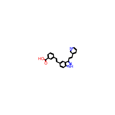 O=C(O)c1cccc(C=Cc2ccc3[nH]nc(C=Cc4cccnc4)c3c2)c1